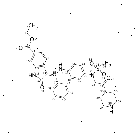 CCOC(=O)c1ccc2c(c1)NC(=O)C2=C(Nc1ccc(N(CC(=O)N2CCNCC2)S(C)(=O)=O)cc1)c1ccccc1